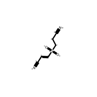 N#CC=CS(=O)(=O)CCC#N